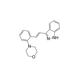 C(=Cc1n[nH]c2ccccc12)c1ccccc1N1CCOCC1